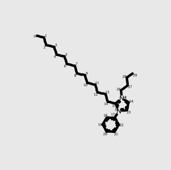 CCCCCCCCCCCCCCCc1n(-c2ccccc2)cc[n+]1CCCC